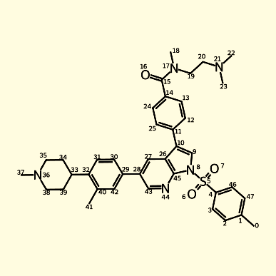 Cc1ccc(S(=O)(=O)n2cc(-c3ccc(C(=O)N(C)CCN(C)C)cc3)c3cc(-c4ccc(C5CCN(C)CC5)c(C)c4)cnc32)cc1